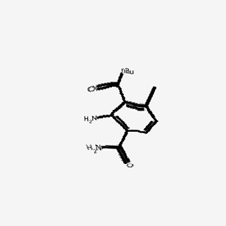 CCCCC(=O)c1c(C)ccc(C(N)=O)c1N